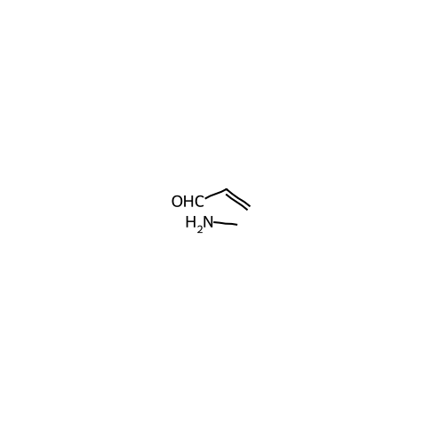 C=CC=O.CN